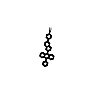 N#Cc1ccc(-c2ccc3cc(-c4c5ccccc5c(-c5ccccc5)c5ccccc45)ccc3c2)cc1